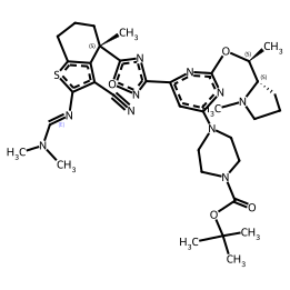 C[C@H](Oc1nc(-c2noc([C@@]3(C)CCCc4sc(/N=C/N(C)C)c(C#N)c43)n2)cc(N2CCN(C(=O)OC(C)(C)C)CC2)n1)[C@@H]1CCCN1C